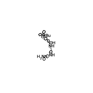 CC(C)(C)[Si](Oc1ccc(OCC(O)CNCCc2ccc(NC3CCN(C(N)=O)CC3)cc2)cc1)(c1ccccc1)c1ccccc1